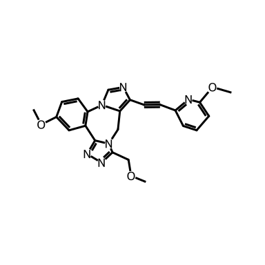 COCc1nnc2n1Cc1c(C#Cc3cccc(OC)n3)ncn1-c1ccc(OC)cc1-2